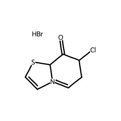 Br.O=C1C(Cl)CC=[N+]2C=CSC12